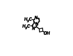 Cc1nccn2c(C3CC(O)C3)nc(C)c12